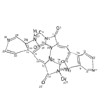 CN1C(=O)/C(=C/c2c[nH]c3cnccc23)N(N2C(=O)N(C)C(=O)/C2=C/c2c[nH]c3cnccc23)C1=O